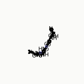 CCN(CC)CCNC(=O)c1c(C)[nH]c(/C=C2\C(=O)Nc3ccc(NC(=O)/C=C/C(=O)Oc4ccc(CNC(=O)Nc5nc(-c6ccncc6)cs5)cc4)cc32)c1C